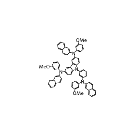 COc1cccc(N(c2cccc(-n3c4ccc(N(c5cccc(OC)c5)c5ccc6ccccc6c5)cc4c4cc(N(c5cccc(OC)c5)c5ccc6ccccc6c5)ccc43)c2)c2ccc3ccccc3c2)c1